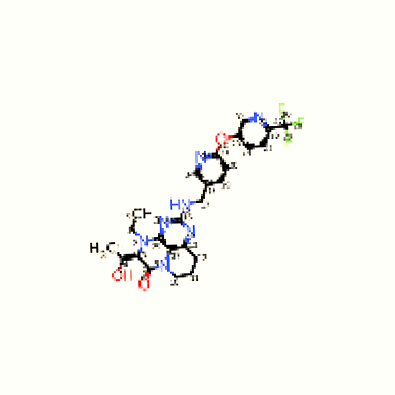 CCN1/C(=C(\C)O)C(=O)N2CCCc3nc(NCc4ccc(Oc5ccc(C(F)(F)F)nc5)nc4)nc1c32